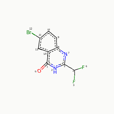 O=c1[nH]c(C(F)F)nc2ccc(Br)cc12